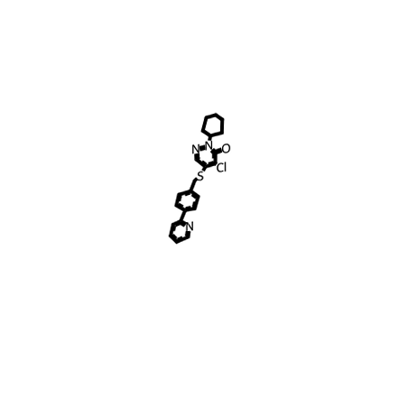 O=c1c(Cl)c(SCc2ccc(-c3ccccn3)cc2)cnn1C1CCCCC1